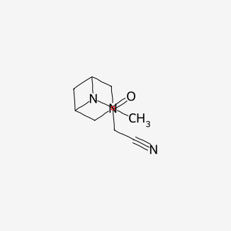 CN1CC2CC(C1)N2C(=O)CC#N